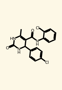 CC1=C(C(=O)Nc2ccccc2Cl)C(c2ccc(Cl)cc2)NC(=O)N1